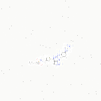 CNS(=O)(=O)N1CCc2sc(-c3nc(Nc4cccc(N5CCNCC5)c4)nc4[nH]ccc34)cc2C1